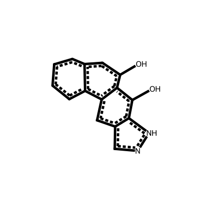 Oc1cc2ccccc2c2cc3cn[nH]c3c(O)c12